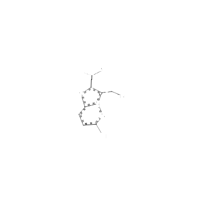 FC(F)c1nc2ccc(Cl)nn2c1CBr